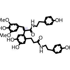 COc1cc(/C=C(/C(=O)NCCc2ccc(O)cc2)c2cc(O)c(O)cc2CCC(=O)NCCc2ccc(O)cc2)cc(OC)c1O